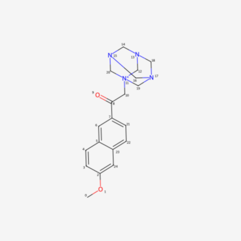 COc1ccc2cc(C(=O)C[N+]34CN5CN(CN(C5)C3)C4)ccc2c1